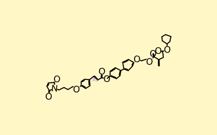 C=C(CC(=O)OC1CCCCC1)C(=O)OCCOc1ccc(-c2ccc(OC(=O)/C=C/c3ccc(OCCCCN4C(=O)C=CC4=O)cc3)cc2)cc1